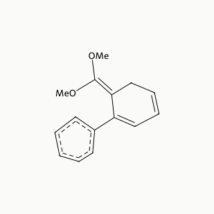 COC(OC)=C1CC=CC=C1c1ccccc1